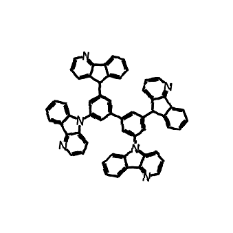 c1ccc2c(c1)-c1ncccc1C2c1cc(-c2cc(C3c4ccccc4-c4ncccc43)cc(-n3c4ccccc4c4ncccc43)c2)cc(-n2c3ccccc3c3ncccc32)c1